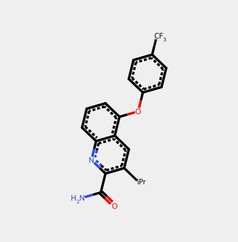 CC(C)c1cc2c(Oc3ccc(C(F)(F)F)cc3)cccc2nc1C(N)=O